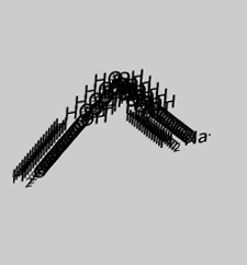 O.O.O.O.O.O.O.O.O.O.O.O.O.O.O.O.O.O.O.O.O.O.O.O.O.O.O.O.O.O.O.O.OB(O)O.OB(O)O.OB(O)O.OB(O)O.OB(O)O.OB(O)O.OB(O)O.OB(O)O.[Na]